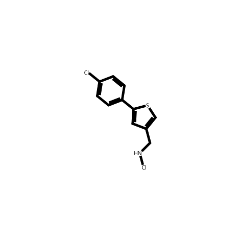 ClNCc1csc(-c2ccc(Cl)cc2)c1